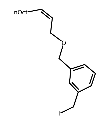 CCCCCCCC/C=C\COCc1cccc(CI)c1